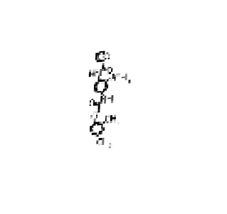 COc1cc(NC(=O)COc2ccc(C)cc2C)ccc1NC(=O)c1ccco1